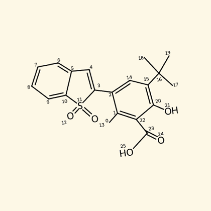 Cc1c(C2=Cc3ccccc3S2(=O)=O)cc(C(C)(C)C)c(O)c1C(=O)O